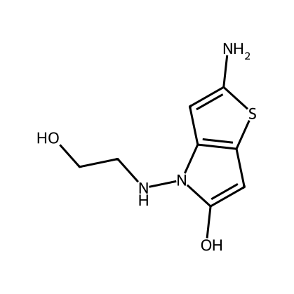 Nc1cc2c(cc(O)n2NCCO)s1